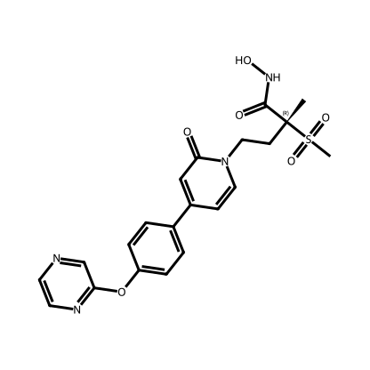 C[C@@](CCn1ccc(-c2ccc(Oc3cnccn3)cc2)cc1=O)(C(=O)NO)S(C)(=O)=O